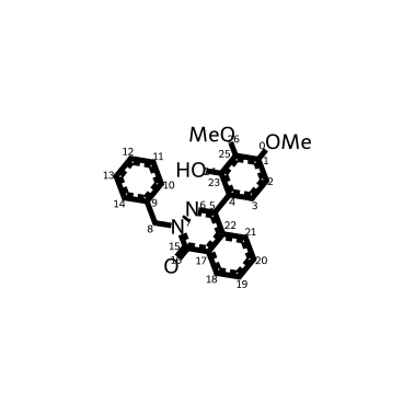 COc1ccc(-c2nn(Cc3ccccc3)c(=O)c3ccccc23)c(O)c1OC